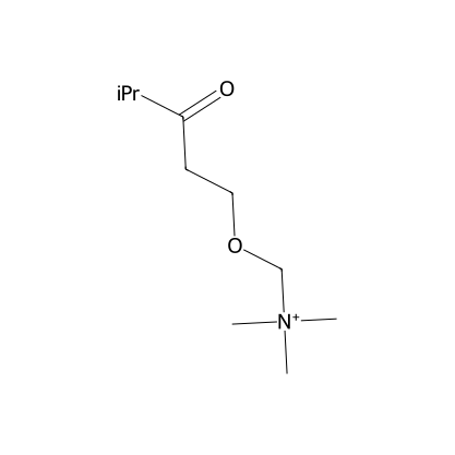 CC(C)C(=O)CCOC[N+](C)(C)C